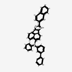 c1ccc(-c2cccc(N(c3ccccc3)c3ccc4c5c(cccc35)-c3oc(-c5ccc6ccccc6c5)nc3-4)c2)cc1